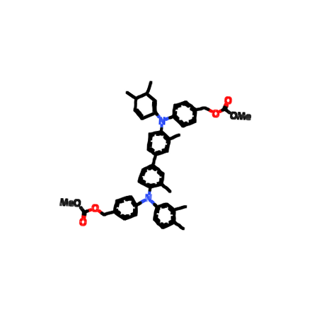 COC(=O)OCc1ccc(N(C2=CC(C)C(C)C=C2)c2ccc(-c3ccc(N(c4ccc(COC(=O)OC)cc4)c4ccc(C)c(C)c4)c(C)c3)cc2C)cc1